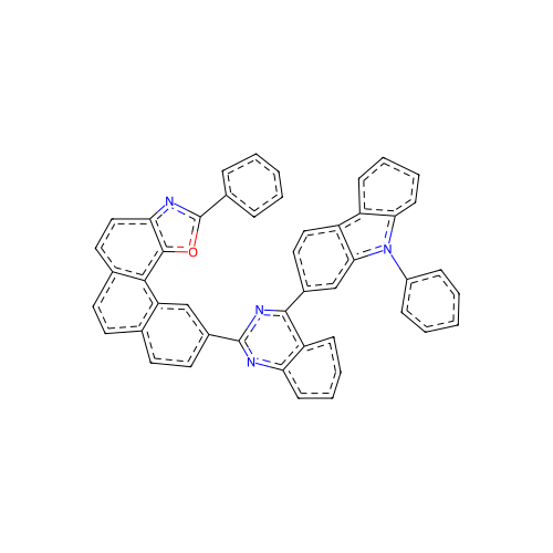 c1ccc(-c2nc3ccc4ccc5ccc(-c6nc(-c7ccc8c9ccccc9n(-c9ccccc9)c8c7)c7ccccc7n6)cc5c4c3o2)cc1